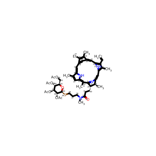 C=Cc1c(C)c2cc3nc(c(C)c4cc(C)c(cc5cc(cc1[nH]2)C(C)=C5CC)[nH]4)[C@@H](CCC(=O)N(C)CCCS[C@@H]1O[C@H](COC(C)=O)[C@@H](OC(C)=O)[C@H](OC(C)=O)[C@H]1OC(C)=O)[C@@H]3C